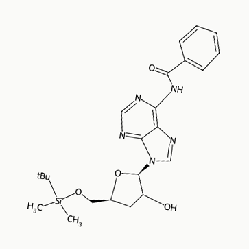 CC(C)(C)[Si](C)(C)OC[C@@H]1CC(O)[C@H](n2cnc3c(NC(=O)c4ccccc4)ncnc32)O1